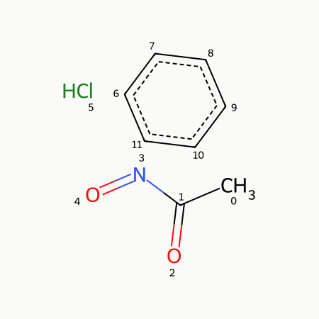 CC(=O)N=O.Cl.c1ccccc1